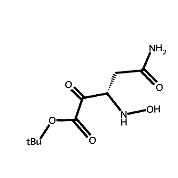 CC(C)(C)OC(=O)C(=O)[C@H](CC(N)=O)NO